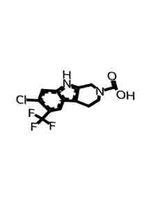 O=C(O)N1CCc2c([nH]c3cc(Cl)c(C(F)(F)F)cc23)C1